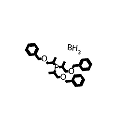 B.CC(COCc1ccccc1)P(C(C)COCc1ccccc1)C(C)COCc1ccccc1